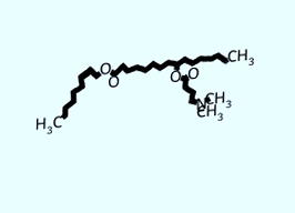 CCCCCC/C=C\COC(=O)CCCCCCCC(CCCCCCC)OC(=O)CCCN(C)C